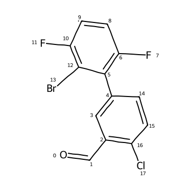 O=Cc1cc(-c2c(F)c[c]c(F)c2Br)ccc1Cl